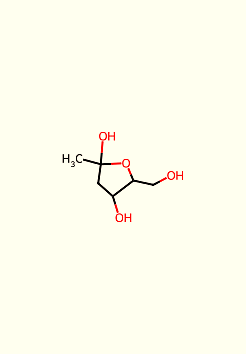 CC1(O)CC(O)C(CO)O1